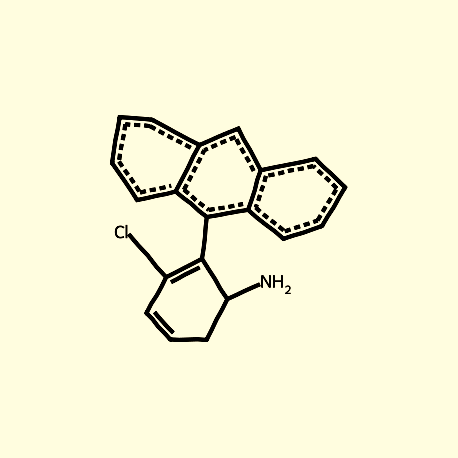 NC1CC=CC(Cl)=C1c1c2ccccc2cc2ccccc12